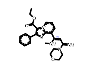 CCOC(=O)c1c(-c2ccccc2)nc2c(/C(=C/C(=N)N3CCOCC3)NC)cccn12